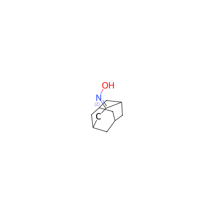 O/N=C1/CC2CC3CC(C2)CC1C3